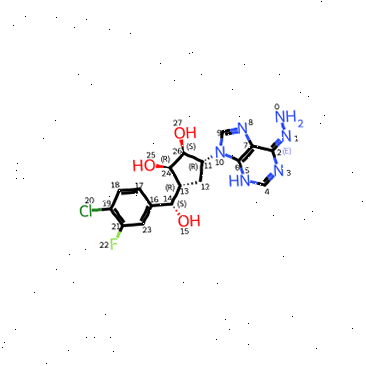 N/N=c1/nc[nH]c2c1ncn2[C@@H]1C[C@H]([C@H](O)c2ccc(Cl)c(F)c2)[C@@H](O)[C@H]1O